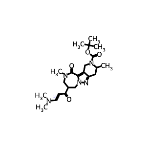 CC1Cc2nn3c(c2CN1C(=O)OC(C)(C)C)C(=O)N(C)CC(C(=O)/C=C/N(C)C)C3